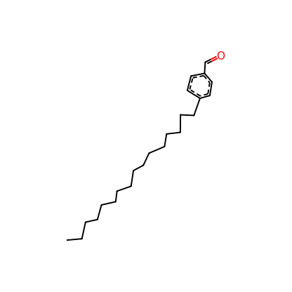 CCCCCCCCCCCCCCCCc1ccc(C=O)cc1